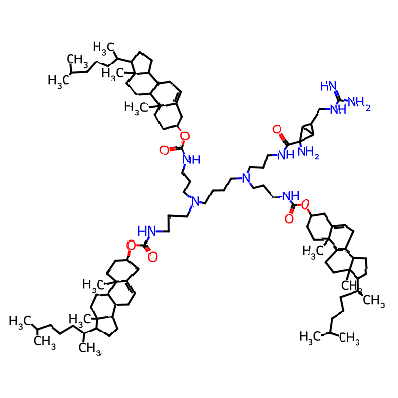 CC(C)CCCC(C)C1CCC2C3CC=C4CC(OC(=O)NCCCN(CCCCN(CCCNC(=O)OC5CCC6(C)C(=CCC7C6CCC6(C)C(C(C)CCCC(C)C)CCC76)C5)CCCNC(=O)C5(N)C6C(CNC(=N)N)C65)CCCNC(=O)OC5CCC6(C)C(=CCC7C6CCC6(C)C(C(C)CCCC(C)C)CCC76)C5)CCC4(C)C3CCC12C